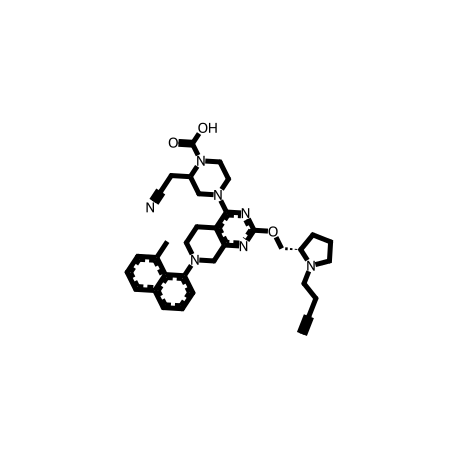 C#CCCN1CCC[C@H]1COc1nc2c(c(N3CCN(C(=O)O)C(CC#N)C3)n1)CCN(c1cccc3cccc(C)c13)C2